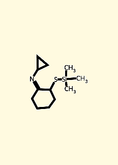 C[Si](C)(C)SC1CCCCC1=NC1CC1